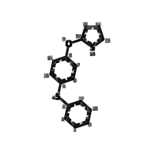 c1ccc(Sc2ccc(Oc3cccs3)cc2)cc1